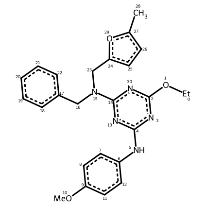 CCOc1nc(Nc2ccc(OC)cc2)nc(N(Cc2ccccc2)Cc2ccc(C)o2)n1